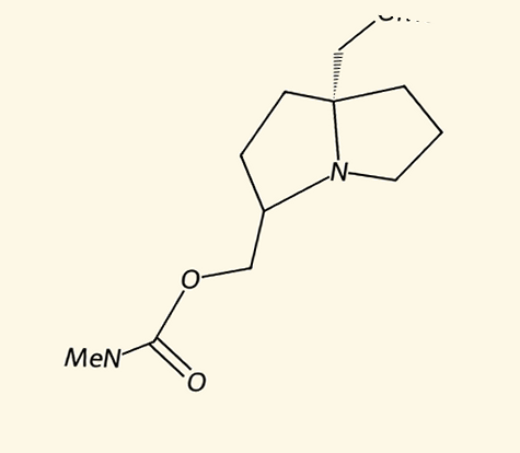 CNC(=O)OCC1CC[C@@]2(COC)CCCN12